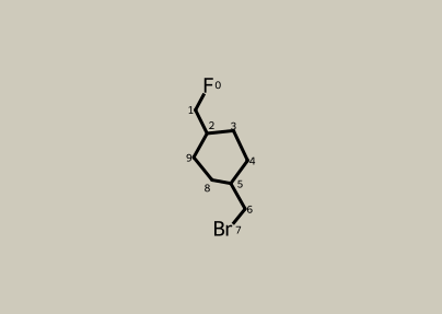 FCC1CCC(CBr)CC1